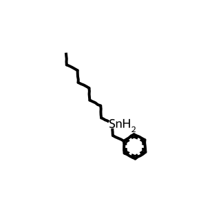 CCCCCCC[CH2][SnH2][CH2]c1ccccc1